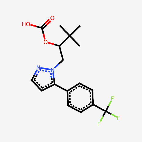 CC(C)(C)C(Cn1nccc1-c1ccc(C(F)(F)F)cc1)OC(=O)O